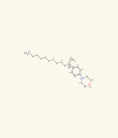 CCCCCCCCCC[SiH](C)c1ccc(N2CCOCC2)cc1